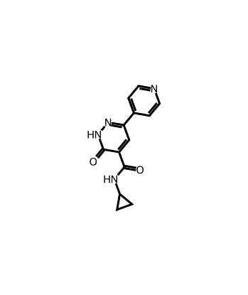 O=C(NC1CC1)c1cc(-c2ccncc2)n[nH]c1=O